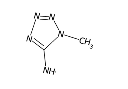 Cn1nnnc1[NH]